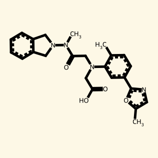 Cc1cnc(-c2ccc(C)c(N(CC(=O)O)CC(=O)N(C)N3Cc4ccccc4C3)c2)o1